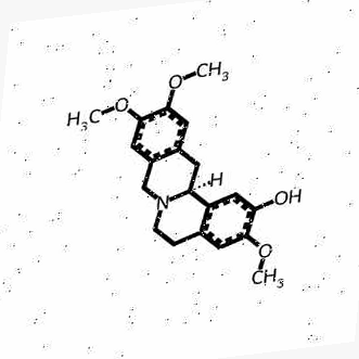 COc1cc2c(cc1O)[C@@H]1Cc3cc(OC)c(OC)cc3CN1CC2